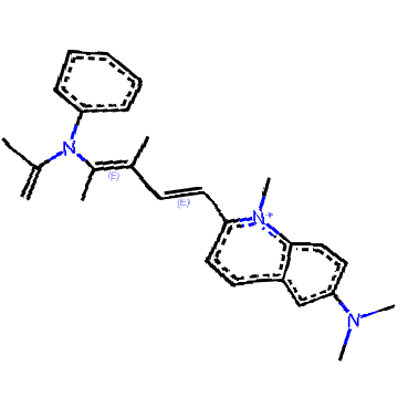 C=C(C)N(/C(C)=C(C)/C=C/c1ccc2cc(N(C)C)ccc2[n+]1C)c1ccccc1